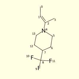 CC=C(C)N1CCC(C(F)(F)F)CC1